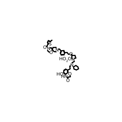 Cc1ccc(C(=O)N2CCOC3(CCN(Cc4cccc(CCOC5CCN(CCN(CCc6ccc(O)c7c6OCC(=O)N7)C6CCCCC6)[C@@H]5C(=O)O)c4)CC3)C2)s1